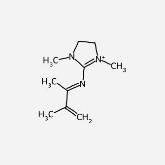 C=C(C)/C(C)=N/C1=[N+](C)CCN1C